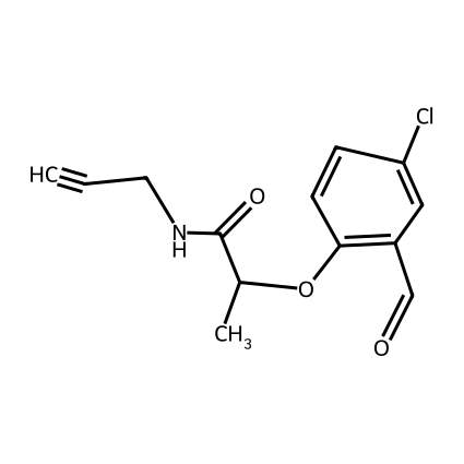 C#CCNC(=O)C(C)Oc1ccc(Cl)cc1C=O